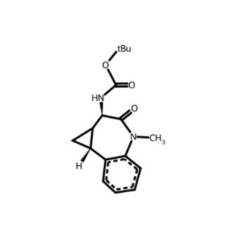 CN1C(=O)[C@H](NC(=O)OC(C)(C)C)C2C[C@H]2c2ccccc21